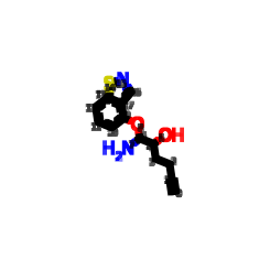 C#CCCC(O)C(N)Oc1cccc2sncc12